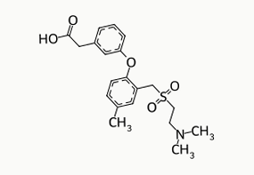 Cc1ccc(Oc2cccc(CC(=O)O)c2)c(CS(=O)(=O)CCN(C)C)c1